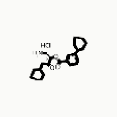 Cl.NC[C@@H](OC(=O)c1cccc(C2CCCCC2)c1)C(=O)CC1CCCCC1